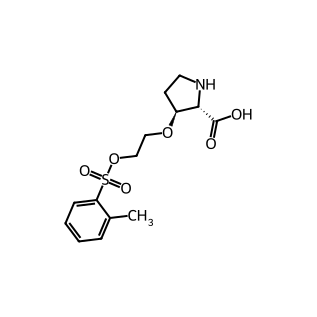 Cc1ccccc1S(=O)(=O)OCCO[C@H]1CCN[C@@H]1C(=O)O